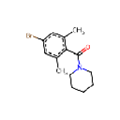 Cc1cc(Br)cc(C)c1C(=O)N1CCCCC1